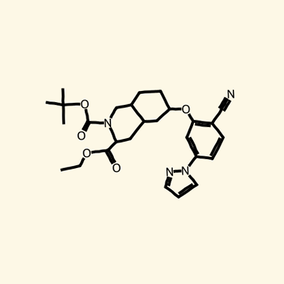 CCOC(=O)C1CC2CC(Oc3cc(-n4cccn4)ccc3C#N)CCC2CN1C(=O)OC(C)(C)C